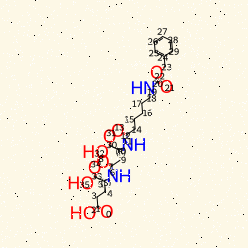 O=C(O)CC[C@H](NC(=O)C[C@@H](NC(=O)CCCCCNC(=O)OCc1ccccc1)C(=O)O)C(=O)O